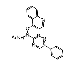 CC(=O)NN(Oc1ccnc2ccccc12)c1ncc(-c2ccccc2)nn1